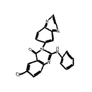 O=c1c2cc(Cl)ccc2nc(Nc2ccccc2)n1-c1ccc2nccnc2c1